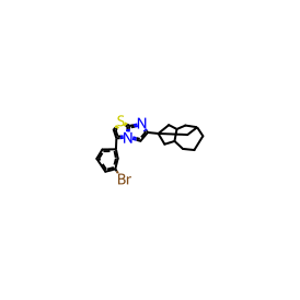 Brc1cccc(-c2csc3nc(C45CC6CCCC(C4)C(C6)C5)cn23)c1